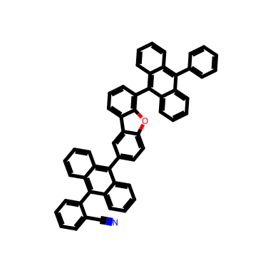 N#Cc1ccccc1-c1c2ccccc2c(-c2ccc3oc4c(-c5c6ccccc6c(-c6ccccc6)c6ccccc56)cccc4c3c2)c2ccccc12